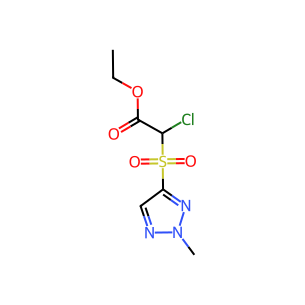 CCOC(=O)C(Cl)S(=O)(=O)c1cnn(C)n1